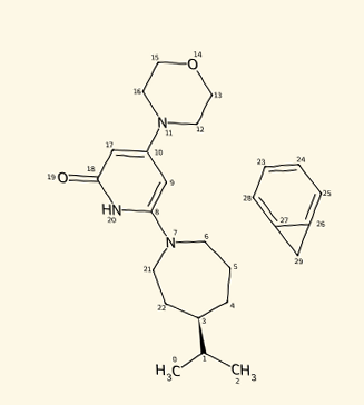 CC(C)[C@@H]1CCCN(c2cc(N3CCOCC3)cc(=O)[nH]2)CC1.c1ccc2c(c1)C2